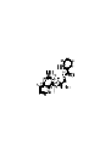 CCCC[C@](C)(CNC(=O)[C@@H]1CCCCN1)Nc1nc(N)nc2cccnc12